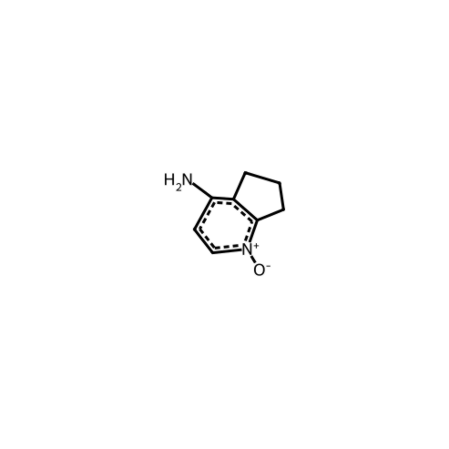 Nc1cc[n+]([O-])c2c1CCC2